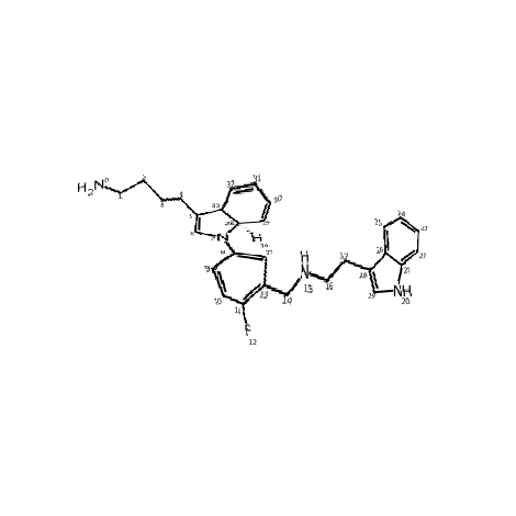 NCCCCC1=CN(c2ccc(F)c(CNCCc3c[nH]c4ccccc34)c2)[C@@H]2C=CC=CC12